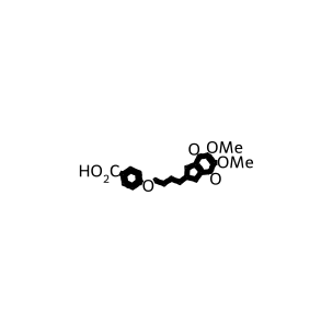 COC1=C(OC)C(=O)C2=C(CC(CCCCOc3ccc(C(=O)O)cc3)C2)C1=O